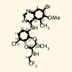 COc1c(Br)cc2ncnc(Nc3ccc(Cl)cc3O[C@H](C)C(=O)NCC(F)(F)F)c2c1C